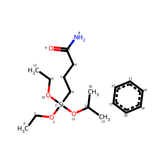 CCO[Si](CCCC(N)=O)(OCC)OC(C)C.c1ccccc1